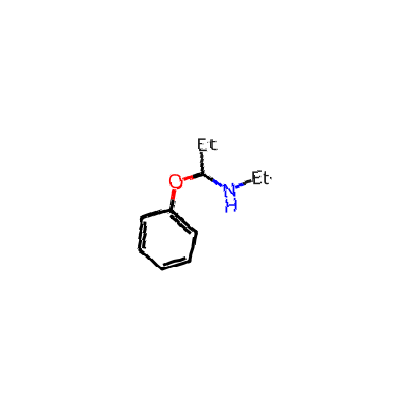 C[CH]NC(CC)Oc1ccccc1